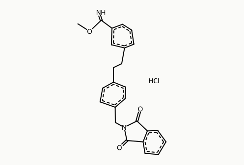 COC(=N)c1cccc(CCc2ccc(CN3C(=O)c4ccccc4C3=O)cc2)c1.Cl